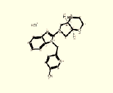 Cl.N#Cc1ccc(Cn2c(N3C[C@@H]4OCCN[C@@H]4C3)nc3ccccc32)nc1